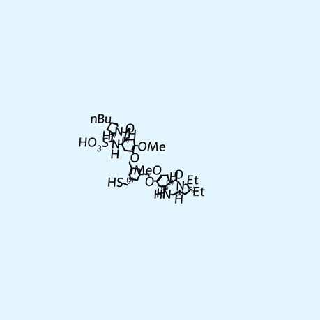 CCCCC1C[C@H]2C(S(=O)(=O)O)NC3CC(OCC4=C[C@@H](CS)CC(COC5=C(OC)C[C@@H]6C(=O)N7C(CC)[C@H](CC)C[C@H]7CN[C@@H]6C5)C4)=C(OC)C[C@H]3C(=O)N2C1